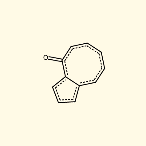 O=c1cccccc2cccc1-2